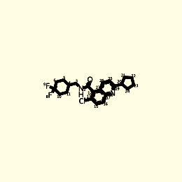 O=C(NCC1CCC(F)(F)CC1)c1c(Cl)ccc2nc(C3CCCC3)ccc12